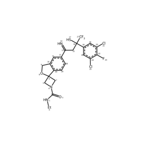 CCNC(=O)N1CC2(C1)OCc1cc(C(=N)CC(S)(c3cc(Cl)c(F)c(Cl)c3)C(F)(F)F)ccc12